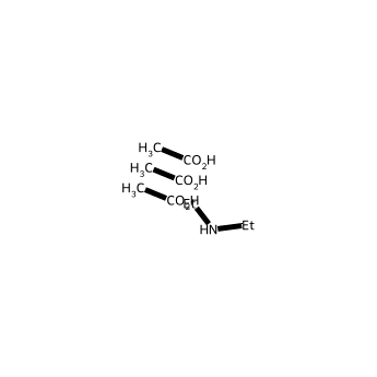 CC(=O)O.CC(=O)O.CC(=O)O.CCNCC